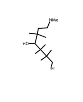 CNCCC(C)(C)C(O)C(C)(C)C(C)(C)CC(C)C